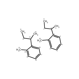 CCC(C)c1ccccc1C.CCC(C)c1ccccc1C